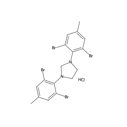 Cc1cc(Br)c(N2CCN(c3c(Br)cc(C)cc3Br)C2)c(Br)c1.Cl